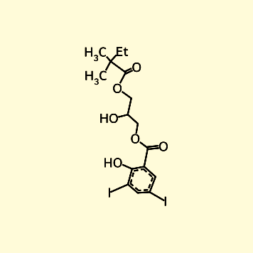 CCC(C)(C)C(=O)OCC(O)COC(=O)c1cc(I)cc(I)c1O